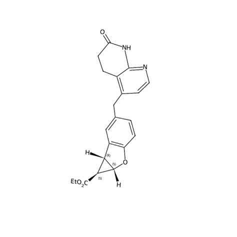 CCOC(=O)[C@@H]1[C@H]2Oc3ccc(Cc4ccnc5c4CCC(=O)N5)cc3[C@H]21